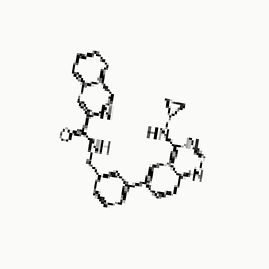 O=C(NCc1cccc(-c2ccc3ncnc(NC4CC4)c3c2)c1)c1cc2ccccc2cn1